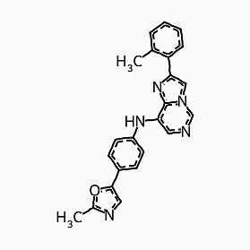 Cc1ncc(-c2ccc(Nc3cncn4cc(-c5ccccc5C)nc34)cc2)o1